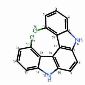 Clc1cccc2[nH]c3ccc4[nH]c5cccc(Cl)c5c4c3c12